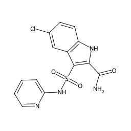 NC(=O)c1[nH]c2ccc(Cl)cc2c1S(=O)(=O)Nc1ccccn1